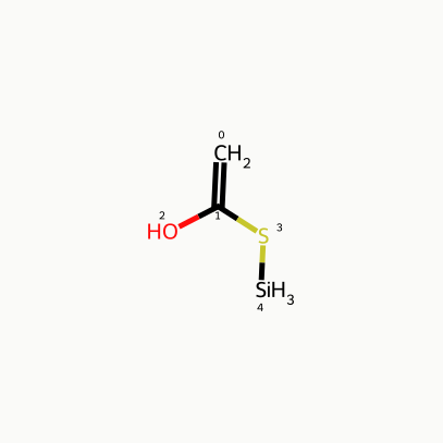 C=C(O)S[SiH3]